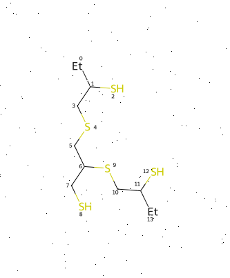 CCC(S)CSCC(CS)SCC(S)CC